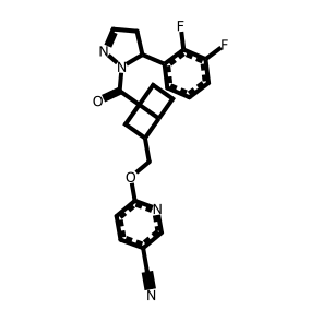 N#Cc1ccc(OCC2CC3(C(=O)N4N=CCC4c4cccc(F)c4F)CCC23)nc1